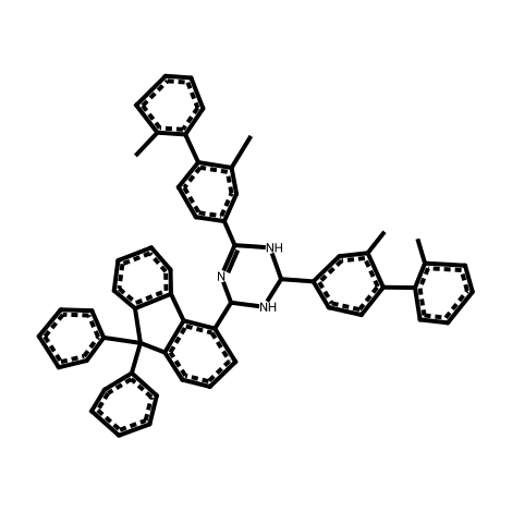 Cc1ccccc1-c1ccc(C2=NC(c3cccc4c3-c3ccccc3C4(c3ccccc3)c3ccccc3)NC(c3ccc(-c4ccccc4C)c(C)c3)N2)cc1C